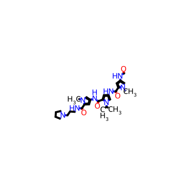 CC(C)n1cc(NC(=O)c2cc(NC=O)cn2C)cc1C(=O)Nc1cc(C(=O)NCCCN2CCCC2)n(C)c1